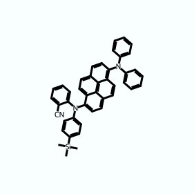 C[Si](C)(C)c1ccc(N(c2ccccc2C#N)c2ccc3ccc4c(N(c5ccccc5)c5ccccc5)ccc5ccc2c3c54)cc1